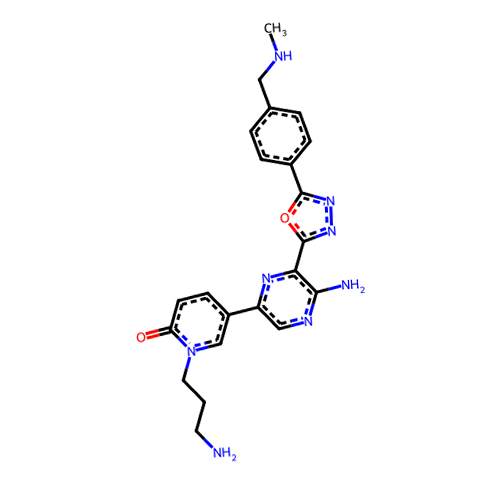 CNCc1ccc(-c2nnc(-c3nc(-c4ccc(=O)n(CCCN)c4)cnc3N)o2)cc1